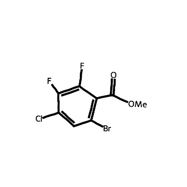 COC(=O)c1c(Br)cc(Cl)c(F)c1F